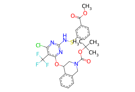 COC(=O)c1cccc(SNc2nc(Cl)c(C(F)(F)F)c(OC3CN(C(=O)OC(C)(C)C)Cc4ccccc43)n2)c1